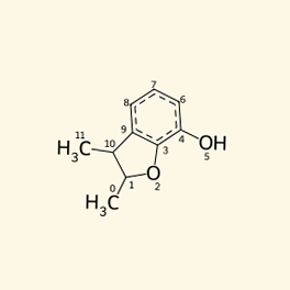 CC1Oc2c(O)cccc2C1C